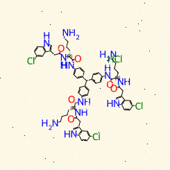 Cl.NCCCC[C@@H](NC(=O)Cc1c[nH]c2ccc(Cl)cc12)C(=O)Nc1ccc(C(c2ccc(NC(=O)[C@@H](CCCCN)NC(=O)Cc3c[nH]c4ccc(Cl)cc34)cc2)c2ccc(NC(=O)[C@@H](CCCCN)NC(=O)Cc3c[nH]c4ccc(Cl)cc34)cc2)cc1